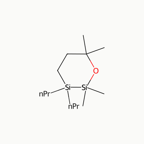 CCC[Si]1(CCC)CCC(C)(C)O[Si]1(C)C